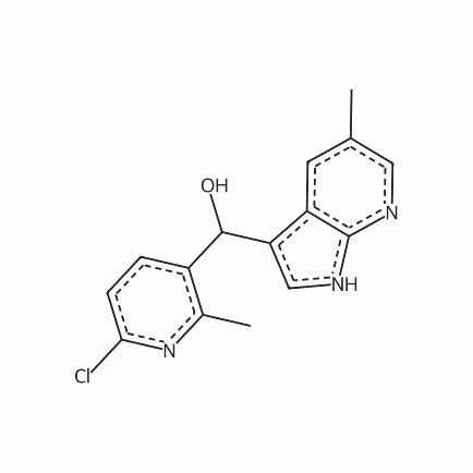 Cc1cnc2[nH]cc(C(O)c3ccc(Cl)nc3C)c2c1